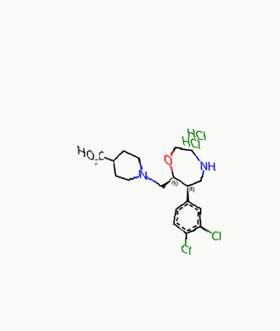 Cl.Cl.O=C(O)C1CCN(C[C@H]2OCCNC[C@H]2c2ccc(Cl)c(Cl)c2)CC1